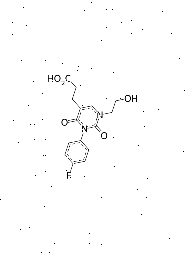 O=C(O)CCc1cn(CCO)c(=O)n(-c2ccc(F)cc2)c1=O